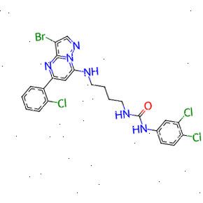 O=C(NCCCCNc1cc(-c2ccccc2Cl)nc2c(Br)cnn12)Nc1ccc(Cl)c(Cl)c1